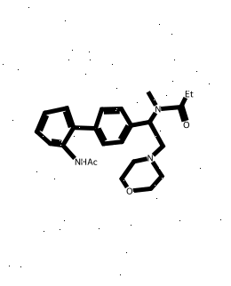 CCC(=O)N(C)C(CN1CCOCC1)c1ccc(-c2ccccc2NC(C)=O)cc1